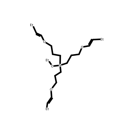 CCC=COCCC[Si](CCCOC=CCC)(CCCOC=CCC)OCC